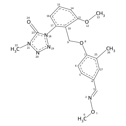 CO/N=C/c1ccc(OCc2c(OC)cccc2-n2nnn(C)c2=O)c(C)c1